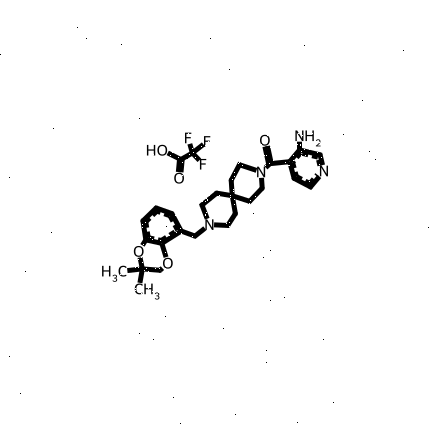 CC1(C)COc2c(CN3CCC4(CC3)CCN(C(=O)c3ccncc3N)CC4)cccc2O1.O=C(O)C(F)(F)F